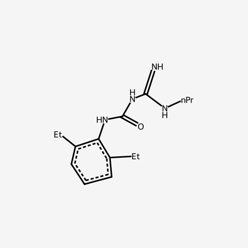 CCCNC(=N)NC(=O)Nc1c(CC)cccc1CC